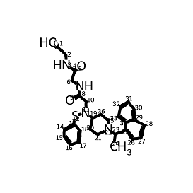 C#CCNC(=O)CNC(=O)CN(Sc1ccccc1)C1CCN(C(C)c2cccc3ccccc23)CC1